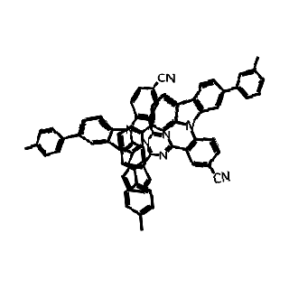 Cc1ccc(-c2ccc3c(c2)c2cc(-c4ccc(C)cc4)ccc2n3-c2ccc(C#N)cc2-c2nc(-c3ccccc3)nc(-c3cc(C#N)ccc3-n3c4cc(-c5cccc(C)c5)ccc4c4ccc(-c5cccc(C)c5)cc43)n2)cc1